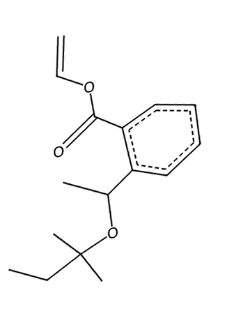 C=COC(=O)c1ccccc1C(C)OC(C)(C)CC